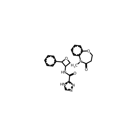 CN1C(=O)CCOc2ccccc21.O=C(NC1COC1c1ccccc1)c1nnc[nH]1